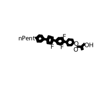 C=C(CO)C(=O)OC1CCC(c2c(F)cc(-c3ccc(-c4ccc(CCCCC)cc4)cc3F)cc2F)CC1